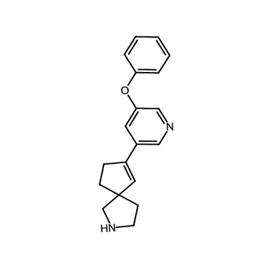 C1=C(c2cncc(Oc3ccccc3)c2)CCC12CCNC2